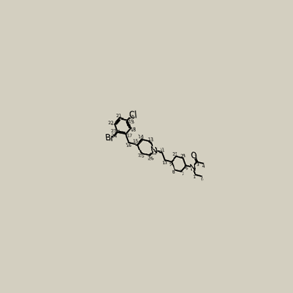 CCN(C(C)=O)C1CCC(CCN2CCC(Cc3cc(Cl)ccc3Br)CC2)CC1